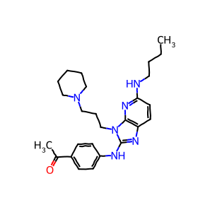 CCCCNc1ccc2nc(Nc3ccc(C(C)=O)cc3)n(CCCN3CCCCC3)c2n1